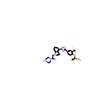 C[C@H](Oc1ccc(-c2nc(-c3cccc4c3ccn4CC(=O)N3CCNCC3)no2)cc1C(F)(F)F)C(F)(F)F